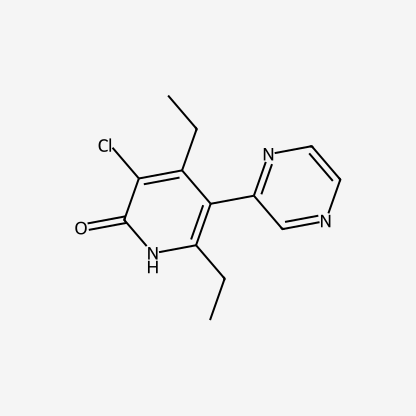 CCc1[nH]c(=O)c(Cl)c(CC)c1-c1cnccn1